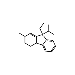 CCS1(C(C)C)C2=CC(C)CCC2c2ccccc21